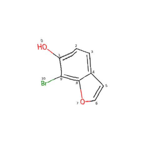 Oc1ccc2ccoc2c1Br